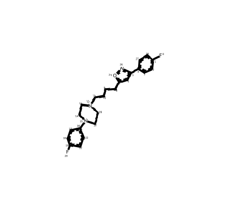 Fc1ccc(-c2cc(CCCCN3CCN(c4ccc(F)cc4)CC3)on2)cc1